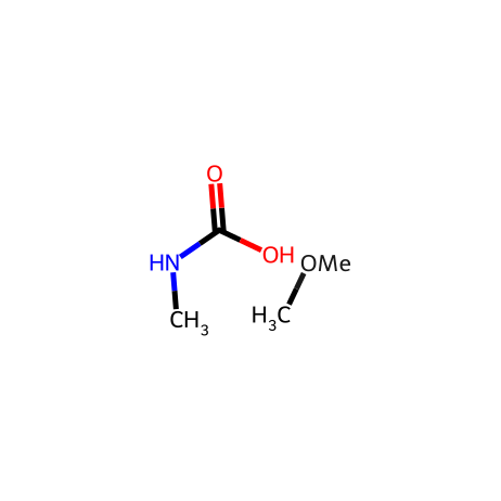 CNC(=O)O.COC